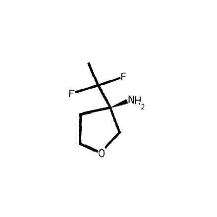 CC(F)(F)[C@@]1(N)CCOC1